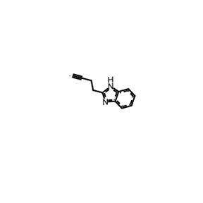 [C]#CCCc1nc2ccccc2[nH]1